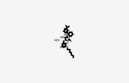 CCCCCCCOc1cc(F)cc(C[C@H](NC(C)=O)[C@H](O)CNC2(c3cccc(C(C)C)c3)CCCCC2)c1.Cl